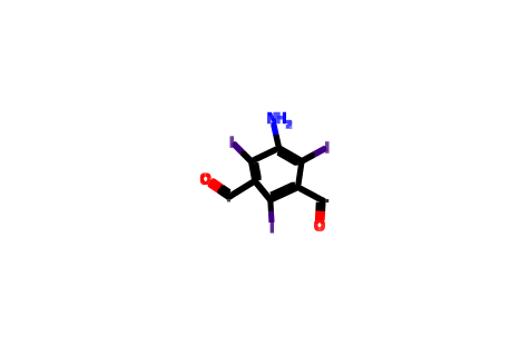 Nc1c(I)c([C]=O)c(I)c([C]=O)c1I